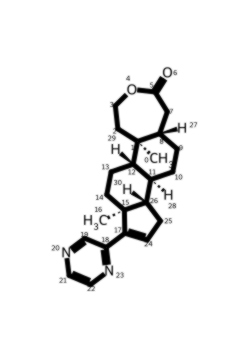 C[C@]12CCOC(=O)C[C@@H]1CC[C@@H]1[C@@H]2CC[C@]2(C)C(c3cnccn3)=CC[C@@H]12